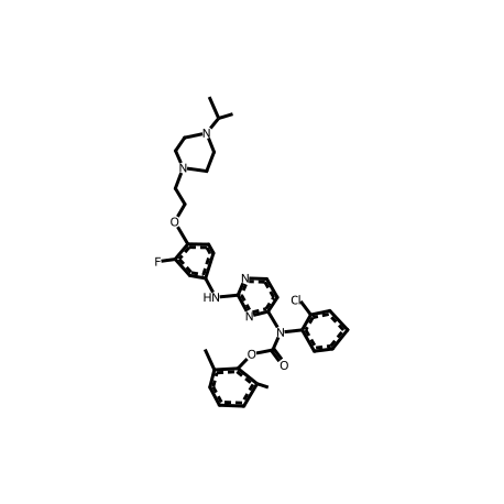 Cc1cccc(C)c1OC(=O)N(c1ccnc(Nc2ccc(OCCN3CCN(C(C)C)CC3)c(F)c2)n1)c1ccccc1Cl